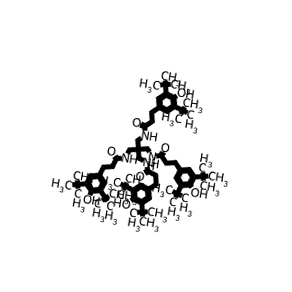 CC(C)(C)c1cc(CCC(=O)NCC(CNC(=O)CCc2cc(C(C)(C)C)c(O)c(C(C)(C)C)c2)(CNC(=O)CCc2cc(C(C)(C)C)c(O)c(C(C)(C)C)c2)CNC(=O)CCc2cc(C(C)(C)C)c(O)c(C(C)(C)C)c2)cc(C(C)(C)C)c1O